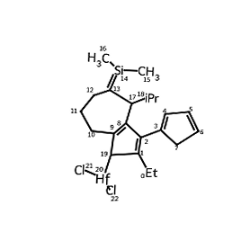 CCC1=C(C2=CC=CC2)C2=C(CCCC(=[Si](C)C)C2C(C)C)[CH]1[Hf]([Cl])[Cl]